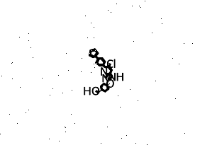 OC[C@H]1CC[C@H](Oc2nc3nc(-c4ccc(-c5ccccc5)cc4)c(Cl)cc3[nH]2)CC1